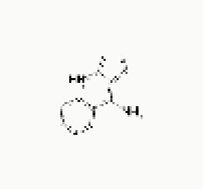 Nc1c2cccc-2[nH]c2ccccc12